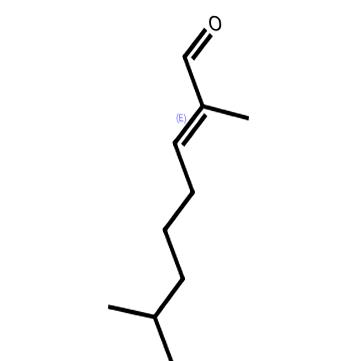 C/C(C=O)=C\CCCC(C)C